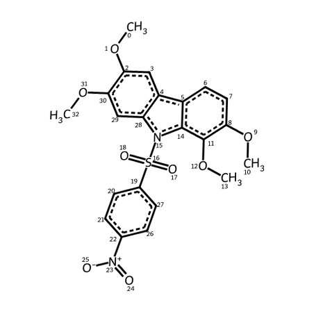 COc1cc2c3ccc(OC)c(OC)c3n(S(=O)(=O)c3ccc([N+](=O)[O-])cc3)c2cc1OC